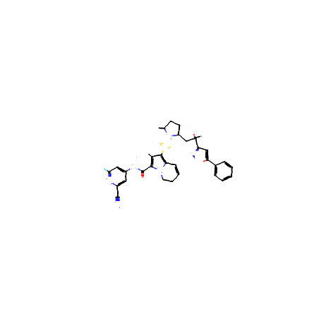 Cc1c(S(=O)(=O)N2C(C)CCC2CC(C)(O)c2cc(-c3ccccc3)on2)c2n(c1C(=O)Nc1cc(F)nc(C#N)c1)CCC=C2